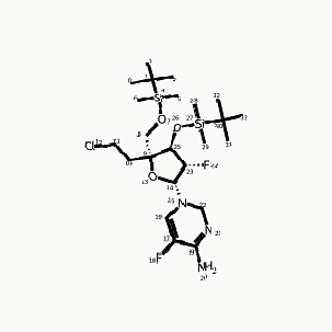 CC(C)(C)[Si](C)(C)OC[C@@]1(CCCl)O[C@@H](N2C=C(F)C(N)=NC2)[C@@H](F)[C@@H]1O[Si](C)(C)C(C)(C)C